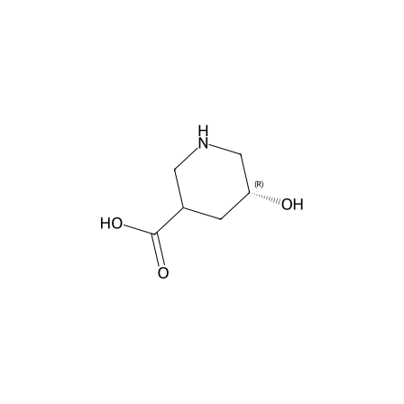 O=C(O)C1CNC[C@H](O)C1